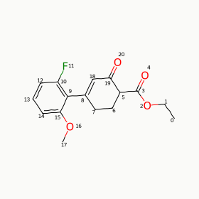 CCOC(=O)C1CCC(c2c(F)cccc2OC)=CC1=O